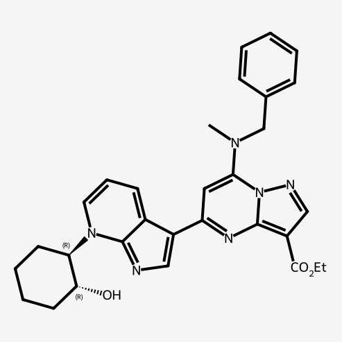 CCOC(=O)c1cnn2c(N(C)Cc3ccccc3)cc(-c3cnc4n([C@@H]5CCCC[C@H]5O)cccc3-4)nc12